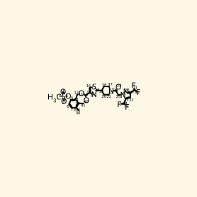 CS(=O)(=O)Oc1ccc(I)c2c1COC(c1csc(C3CCN(C(=O)Cn4nc(C(F)F)cc4C(F)F)CC3)n1)OC2